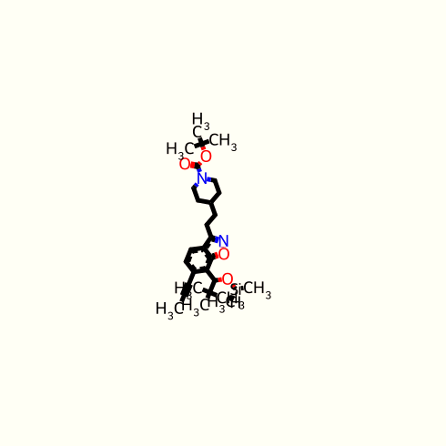 CC#Cc1ccc2c(CCC3CCN(C(=O)OC(C)(C)C)CC3)noc2c1C(O[SiH](C)C)C(C)(C)C